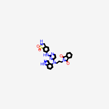 O=C1c2ccccc2C(=O)N1CCCN(c1ccnc(Nc2ccc3c(c2)S(=O)(=O)NC3)n1)c1cccc2[nH]ncc12